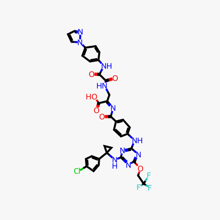 O=C(NC/C(=N/C(=O)c1ccc(Nc2nc(NC3(c4ccc(Cl)cc4)CC3)nc(OCC(F)(F)F)n2)cc1)C(=O)O)C(=O)Nc1ccc(-n2cccn2)cc1